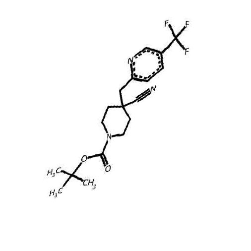 CC(C)(C)OC(=O)N1CCC(C#N)(Cc2ccc(C(F)(F)F)cn2)CC1